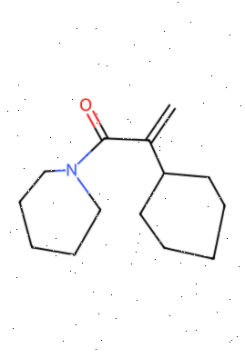 C=C(C(=O)N1CCCCC1)C1CCCCC1